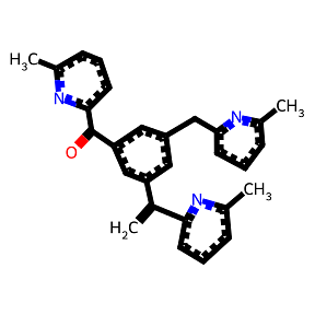 C=C(c1cc(Cc2cccc(C)n2)cc(C(=O)c2cccc(C)n2)c1)c1cccc(C)n1